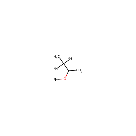 [3H]OC(C)C([3H])([3H])C